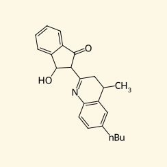 CCCCc1ccc2c(c1)C(C)CC(C1C(=O)c3ccccc3C1O)=N2